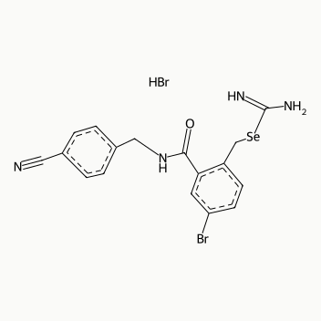 Br.N#Cc1ccc(CNC(=O)c2cc(Br)ccc2C[Se]C(=N)N)cc1